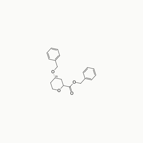 O=C(OCc1ccccc1)C1C[C@@H](OCc2ccccc2)CCO1